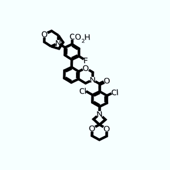 O=C(O)c1cc(F)c(-c2cccc3c2OCN(C(=O)c2c(Cl)cc(N4CC5(C4)OCCCO5)cc2Cl)C3)cc1N1C2CCC1COC2